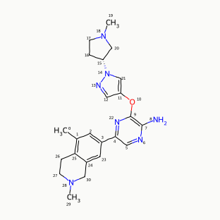 Cc1cc(-c2cnc(N)c(Oc3cnn([C@@H]4CCN(C)C4)c3)n2)cc2c1CCN(C)C2